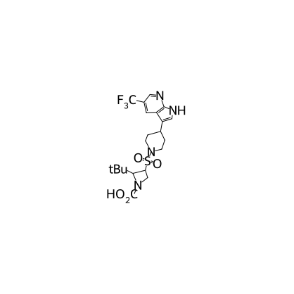 CC(C)(C)C1C(S(=O)(=O)N2CCC(c3c[nH]c4ncc(C(F)(F)F)cc34)CC2)CN1C(=O)O